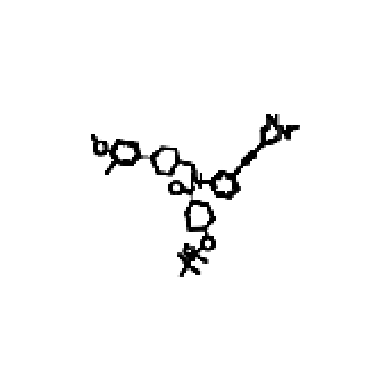 COc1ccc([C@H]2CC[C@H](CN(c3cccc(C#Cc4cnn(C)c4)c3)C(=O)[C@H]3CC[C@H](O[Si](C)(C)C(C)(C)C)CC3)CC2)cc1C